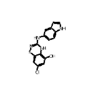 Oc1cc(Cl)cc2c1NC(Nc1ccc3[nH]ccc3c1)=NS2